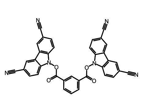 N#Cc1ccc2c(c1)c1cc(C#N)ccc1n2OC(=O)c1cccc(C(=O)On2c3ccc(C#N)cc3c3cc(C#N)ccc32)c1